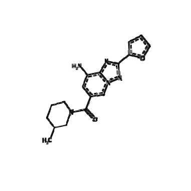 CC1CCCN(C(=O)c2cc(N)c3nc(-c4ccco4)nn3c2)C1